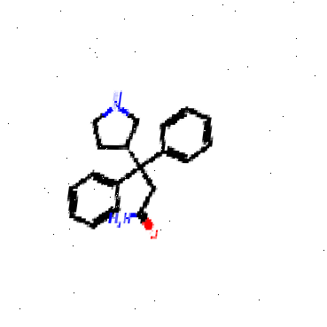 NC(=O)CC(c1ccccc1)(c1ccccc1)[C@H]1CCNC1